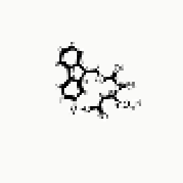 CCN(C(=O)OCC1c2ccccc2-c2ccccc21)C(CC(=O)OC)C(=O)O